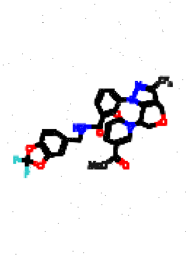 COC(=O)c1ccc(=O)n(C2COCc3c(C(F)(F)F)nn(-c4cccc(C(=O)NCc5ccc6c(c5)OC(F)(F)O6)c4)c32)c1